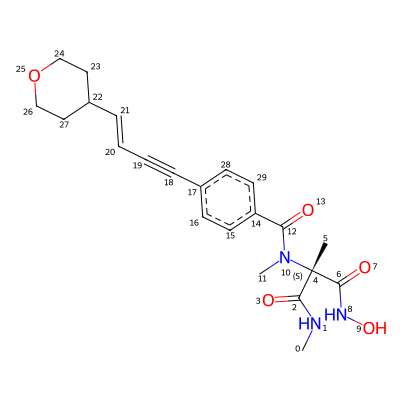 CNC(=O)[C@@](C)(C(=O)NO)N(C)C(=O)c1ccc(C#CC=CC2CCOCC2)cc1